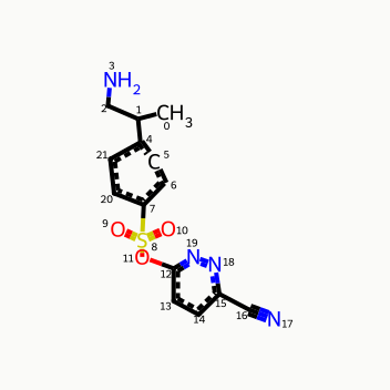 CC(CN)c1ccc(S(=O)(=O)Oc2ccc(C#N)nn2)cc1